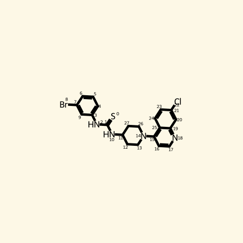 S=C(Nc1cccc(Br)c1)NC1CCN(c2ccnc3cc(Cl)ccc23)CC1